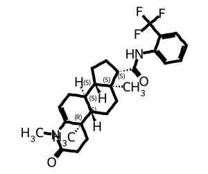 CN1C(=O)CC[C@@]2(C)C1=CC[C@H]1[C@@H]3CC[C@H](C(=O)Nc4ccccc4C(F)(F)F)[C@@]3(C)CC[C@@H]12